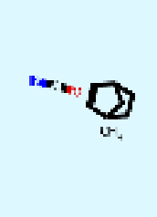 C.C1=CC2CCC1C2.N=C=O